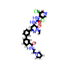 CCn1nc(-c2cccc(-c3cccc(C(=O)NCCN4CCCC4)c3)c2)cc(NC(=O)Nc2c(Cl)cncc2Cl)c1=O